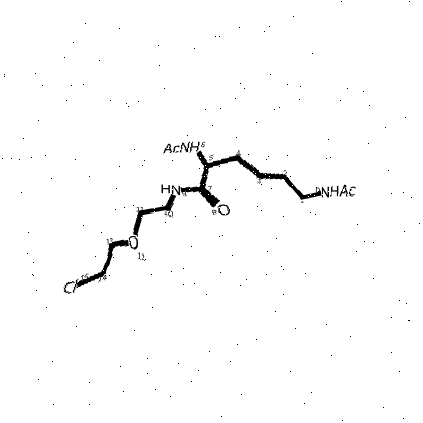 CC(=O)NCCCCC(NC(C)=O)C(=O)NCCOCCCl